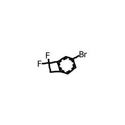 FC1(F)Cc2ccc(Br)cc21